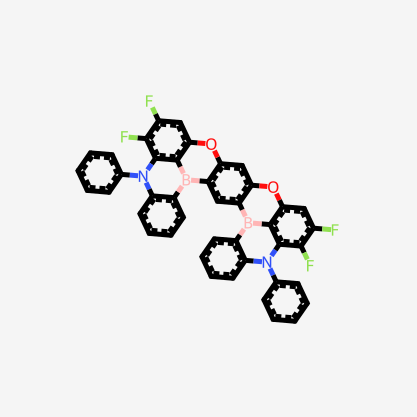 Fc1cc2c3c(c1F)N(c1ccccc1)c1ccccc1B3c1cc3c(cc1O2)Oc1cc(F)c(F)c2c1B3c1ccccc1N2c1ccccc1